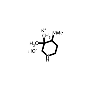 CNC1CCNCC1(C)C.[K+].[OH-]